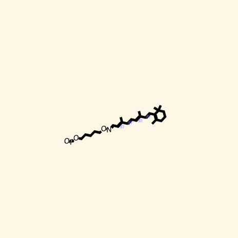 CC1=C(/C=C/C(C)=C/C=C/C(C)=C/C=NOCCCCCOP=O)C(C)(C)CCC1